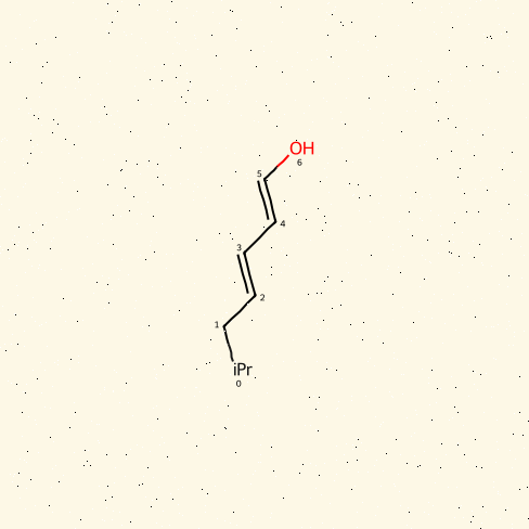 CC(C)CC=CC=CO